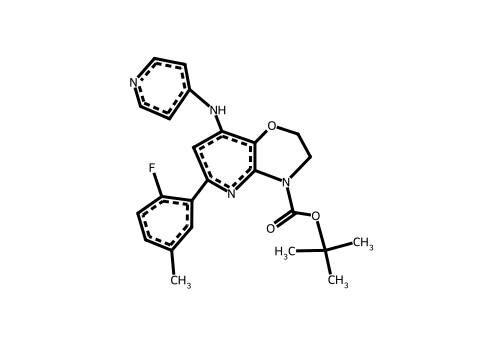 Cc1ccc(F)c(-c2cc(Nc3ccncc3)c3c(n2)N(C(=O)OC(C)(C)C)CCO3)c1